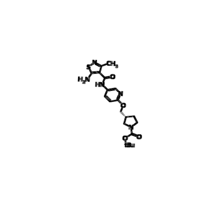 Cc1nsc(N)c1C(=O)Nc1ccc(OC[C@@H]2CCN(C(=O)OC(C)(C)C)C2)nc1